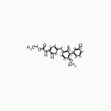 CCOC(=O)NC1=CC=C(Cc2ccc(OC)c(-c3cccc(Cl)c3)c2F)CN1